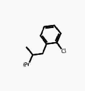 CC(C)C(C)Cc1ccccc1Cl